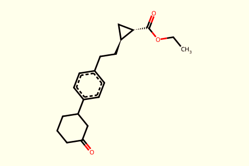 CCOC(=O)[C@H]1C[C@@H]1CCc1ccc(C2CCCC(=O)C2)cc1